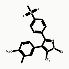 CCn1nc(-c2ccc(S(C)(=O)=O)cc2)c(-c2ccc(OC)c(C)c2)c1C(F)(F)F